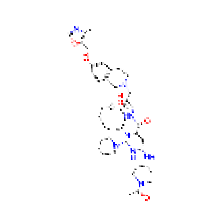 CC(=O)N1CCC(NC2CC(C(=O)NC[C@H](O)CN3CCc4cc(OCc5ocnc5C)ccc4C3)N(C3CCCCCCC3)C(N3CCCCC3)N2)CC1